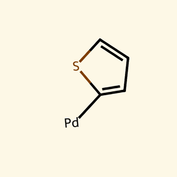 [Pd][c]1cccs1